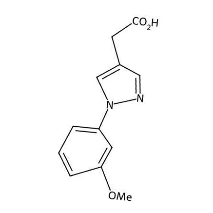 COc1cccc(-n2cc(CC(=O)O)cn2)c1